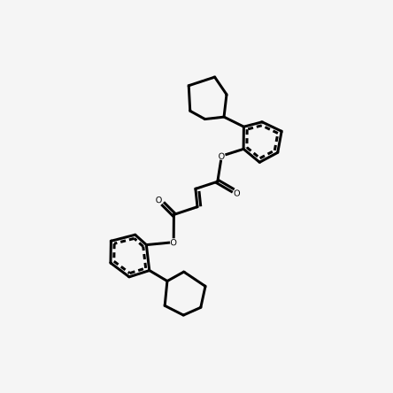 O=C(/C=C/C(=O)Oc1ccccc1C1CCCCC1)Oc1ccccc1C1CCCCC1